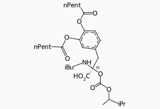 CCCCCC(=O)Oc1ccc(C[C@](NC(C)CC)(OC(=O)OC(C)C(C)C)C(=O)O)cc1OC(=O)CCCCC